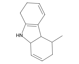 CC1CC=CC2NC3=C(C=CCC3)C12